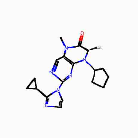 CC[C@@H]1C(=O)N(C)c2cnc(-n3ccnc3C3CC3)nc2N1C1CCCC1